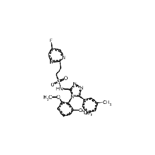 COc1cccc(OC)c1-n1c(NS(=O)(=O)CCc2ncc(F)cn2)nnc1-c1cncc(C)c1